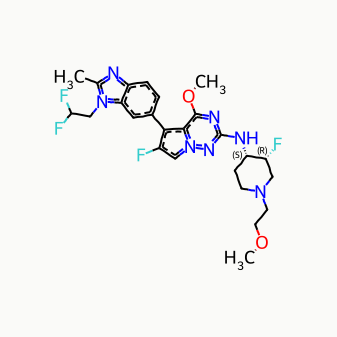 COCCN1CC[C@H](Nc2nc(OC)c3c(-c4ccc5nc(C)n(CC(F)F)c5c4)c(F)cn3n2)[C@H](F)C1